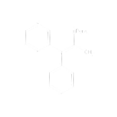 [CH2]C(CCCCC)=C(c1ccccc1)c1ccccc1